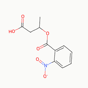 CC(CC(=O)O)OC(=O)c1ccccc1[N+](=O)[O-]